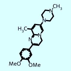 COc1ccc(C2=CCN3C=C(N4CCN(C)CC4)C=C(C)C3=N2)cc1OC